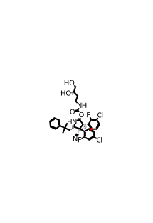 CC(C)(C[C@@H]1N[C@H](OC(=O)NCC[C@H](O)CO)[C@H](c2cccc(Cl)c2F)[C@@]1(C#N)c1ccc(Cl)cc1F)c1ccccc1